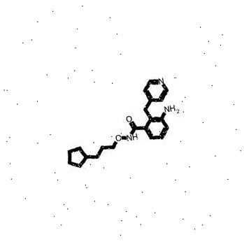 Nc1cccc(C(=O)NOCCCC2CCCC2)c1Cc1ccncc1